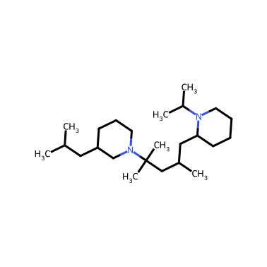 CC(C)CC1CCCN(C(C)(C)CC(C)CC2CCCCN2C(C)C)C1